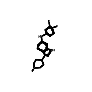 CN1CCC(c2c[nH]c3cc(Nc4ccc(F)c(F)c4)ccc23)CC1